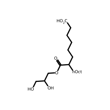 CCCCCCCCC(CCCCCC(=O)O)C(=O)OCC(O)CO